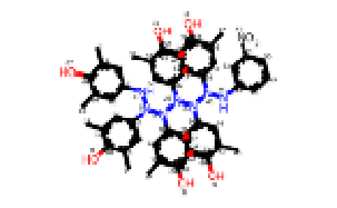 Cc1cc(NN(c2cc(C)c(O)c(C)c2)N(c2cc(C)c(O)c(C)c2)N(c2cc(C)c(O)c(C)c2)N(c2cc(C)c(O)c(C)c2)N(Nc2cccc([N+](=O)[O-])c2)c2cc(C)c(O)c(C)c2)cc(C)c1O